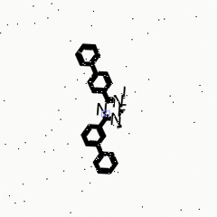 CN(F)/C(=N\C(=NI)c1ccc(-c2ccccc2)cc1)c1cccc(-c2ccccc2)c1